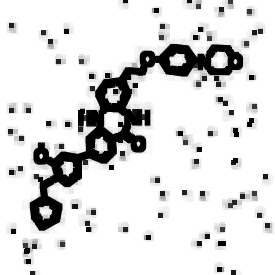 COc1cc(-c2ccc3c(c2)Nc2ccc(CCOc4ccc(N5CCOCC5)cc4)cc2NC3=O)ccc1Cc1ccccc1